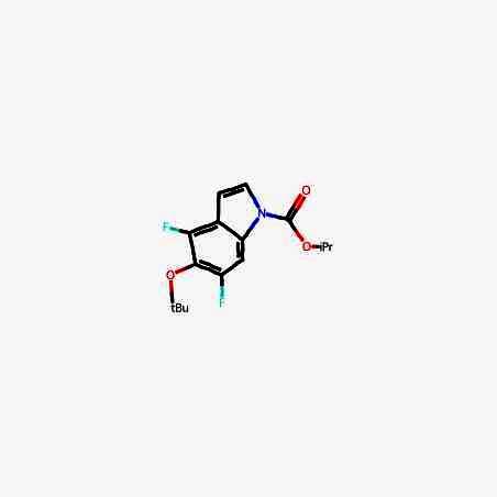 CC(C)OC(=O)n1ccc2c(F)c(OC(C)(C)C)c(F)cc21